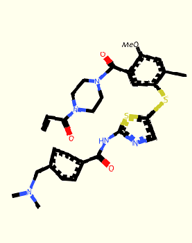 C=CC(=O)N1CCN(C(=O)c2cc(Sc3cnc(NC(=O)c4ccc(CN(C)C)cc4)s3)c(C)cc2OC)CC1